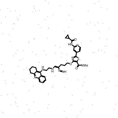 CNC(=O)c1sc(-c2ccnc(NC(=O)C3CC3)c2)nc1OCCC/C(=C/NCCNc1c2c(nc3ccccc13)CCCC2)N=N